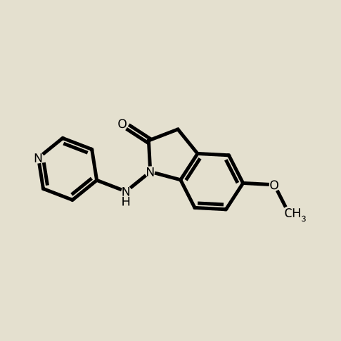 COc1ccc2c(c1)CC(=O)N2Nc1ccncc1